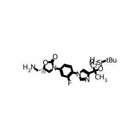 CC(C)(C)[SiH2]OC(C)(C)c1cn(-c2ccc(N3C[C@H](CN)OC3=O)cc2F)cn1